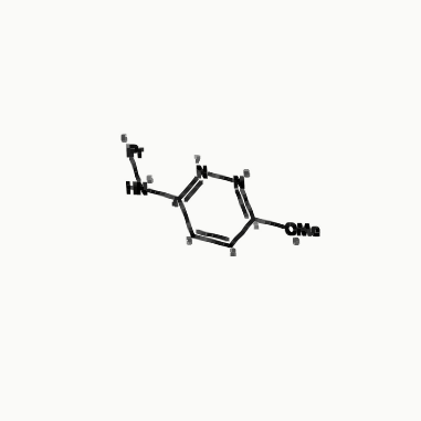 COc1ccc(NC(C)C)nn1